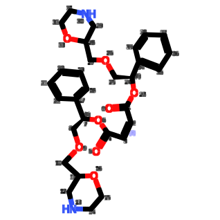 O=C(/C=C\C(=O)O[C@@H](COCC1CNCCO1)c1ccccc1)O[C@@H](COCC1CNCCO1)c1ccccc1